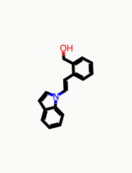 OCc1ccccc1C=Cn1ccc2ccccc21